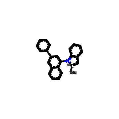 CC(C)(C)[13c]1cc2ccccc2n1-c1cc(-c2ccccc2)cc2ccccc12